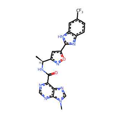 C[C@H](NC(=O)c1ncnc2c1ncn2C)c1cc(-c2nc3ccc(C(F)(F)F)cc3[nH]2)on1